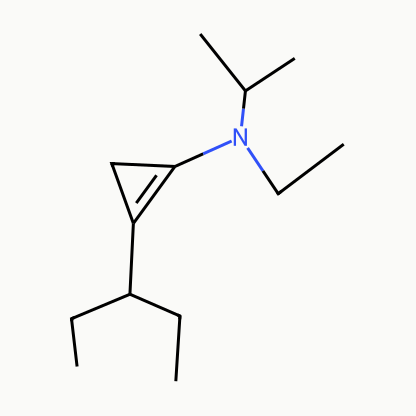 CCC(CC)C1=C(N(CC)C(C)C)C1